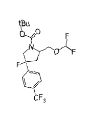 CC(C)(C)OC(=O)N1CC(F)(c2ccc(C(F)(F)F)cc2)CC1COC(F)F